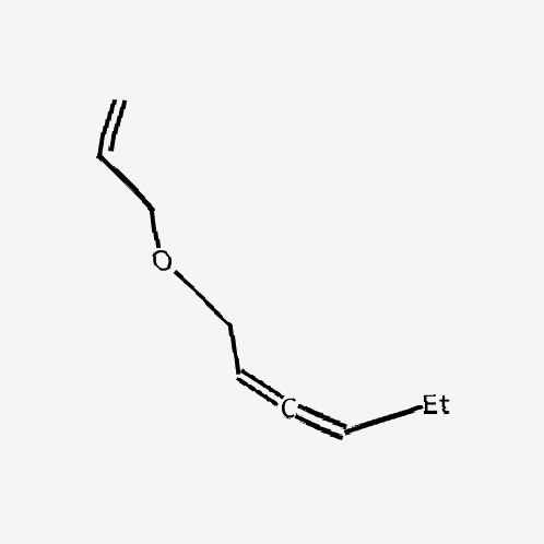 C=CCOCC=C=CCC